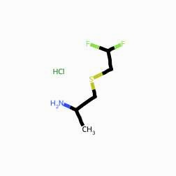 CC(N)CSCC(F)F.Cl